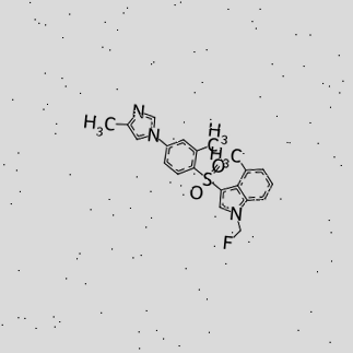 Cc1cn(-c2ccc(S(=O)(=O)c3cn(CF)c4cccc(C)c34)c(C)c2)cn1